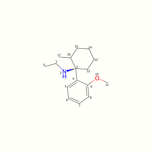 CCN[C@]1(c2ccccc2OC)CCCCC1C